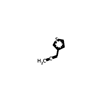 C=C=Cc1ccsc1